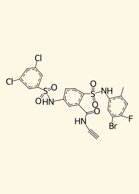 C#CNC(=O)c1cc(NS(=O)(=O)c2cc(Cl)cc(Cl)c2)ccc1S(=O)(=O)Nc1cc(Br)c(F)cc1C